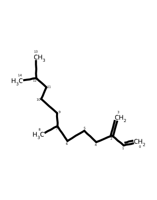 C=CC(=C)CCCC(C)CCCC(C)C